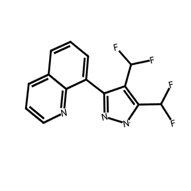 FC(F)C1=C(C(F)F)C(c2cccc3cccnc23)=N[N]1